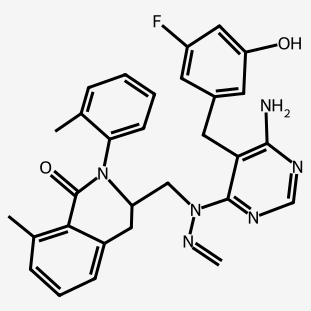 C=NN(CC1Cc2cccc(C)c2C(=O)N1c1ccccc1C)c1ncnc(N)c1Cc1cc(O)cc(F)c1